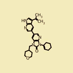 C=C(C)c1c[nH]c2ncc(-c3cnc4c(c3)n(CC3CCOCC3)c(=O)n4C3=CCCCC3)cc12